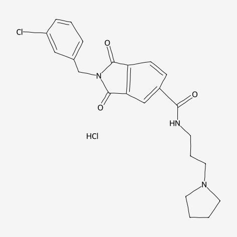 Cl.O=C(NCCCN1CCCC1)c1ccc2c(c1)C(=O)N(Cc1cccc(Cl)c1)C2=O